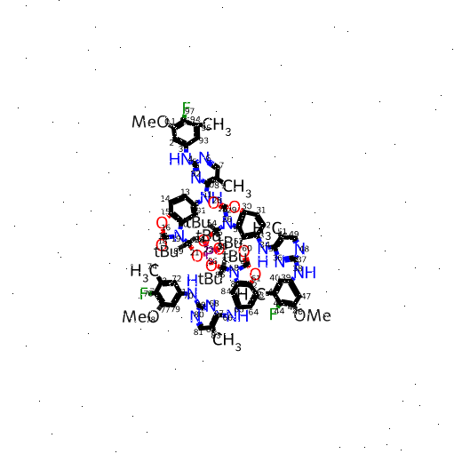 COc1cc(Nc2ncc(C)c(Nc3ccc4oc(=O)n(C(OP(=O)(OC(n5c(=O)oc6ccc(Nc7nc(Nc8cc(C)c(F)c(OC)c8)ncc7C)cc65)(C(C)(C)C)C(C)(C)C)OC(n5c(=O)oc6ccc(Nc7nc(Nc8cc(C)c(F)c(OC)c8)ncc7C)cc65)(C(C)(C)C)C(C)(C)C)(C(C)(C)C)C(C)(C)C)c4c3)n2)cc(C)c1F